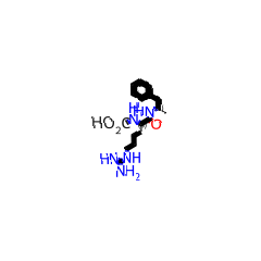 C[C@@H](Cc1ccccc1)NC(=O)[C@H](CCCCNC(=N)N)NC(=O)O